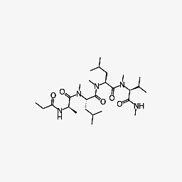 CCC(=O)N[C@H](C)C(=O)N(C)[C@@H](CC(C)C)C(=O)N(C)[C@@H](CC(C)C)C(=O)N(C)[C@H](C(=O)NC)C(C)C